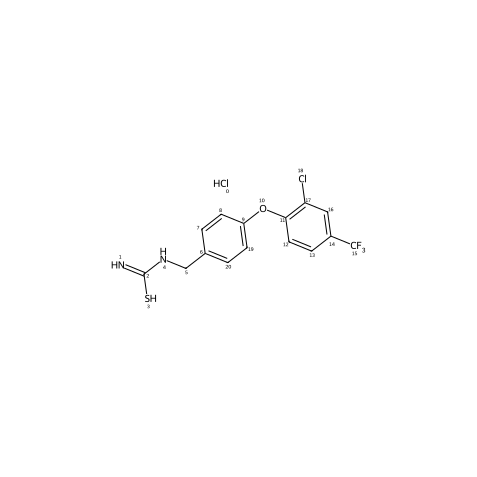 Cl.N=C(S)NCc1ccc(Oc2ccc(C(F)(F)F)cc2Cl)cc1